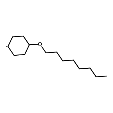 CCCCCCCCOC1CC[CH]CC1